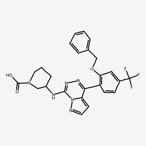 O=C(O)N1CCCC(Nc2nnc(-c3ccc(C(F)(F)F)cc3OCc3ccccc3)c3ccnn23)C1